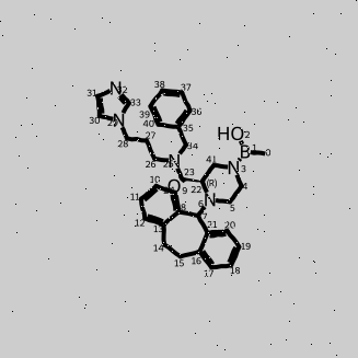 CB(O)N1CCN(C2c3ccccc3CCc3ccccc32)[C@@H](C(=O)N(CCCn2ccnc2)Cc2ccccc2)C1